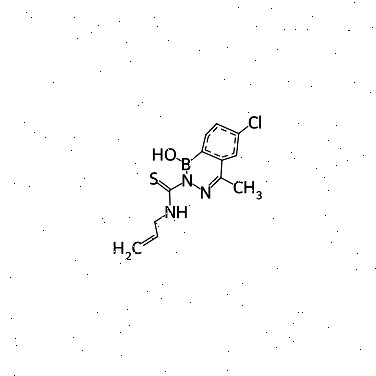 C=CCNC(=S)N1N=C(C)c2cc(Cl)ccc2B1O